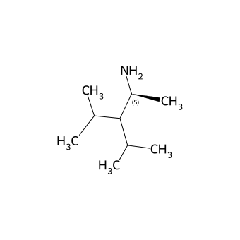 CC(C)C(C(C)C)[C@H](C)N